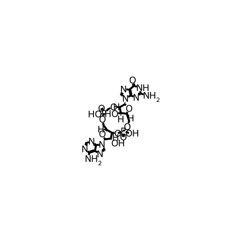 Nc1nc2c(ncn2[C@@H]2O[C@@H]3COP(=O)(O)O[C@H]4[C@@H](O)[C@H](n5cnc6c(N)ncnc65)O[C@@H]4COP(=O)(O)CO[C@@H]2[C@@H]3O)c(=O)[nH]1